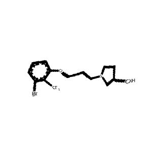 OC1CCN(CCCOc2cccc(Br)c2C(F)(F)F)C1